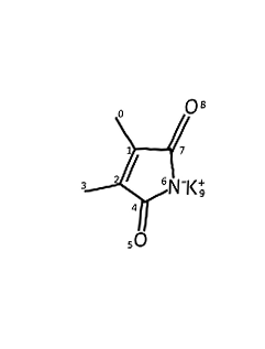 CC1=C(C)C(=O)[N-]C1=O.[K+]